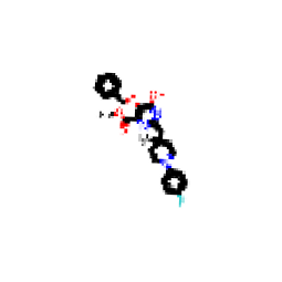 CC1(Cc2nc(O)c(OCc3ccccc3)c(C(=O)OC(C)(C)C)n2)CCN(c2ccc(F)cc2)CC1